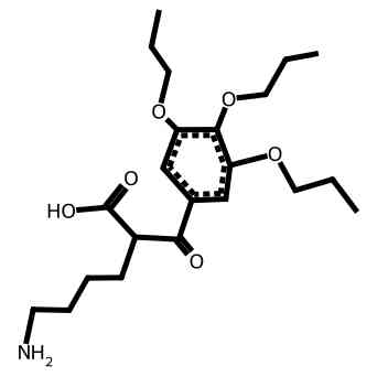 CCCOc1cc(C(=O)C(CCCCN)C(=O)O)cc(OCCC)c1OCCC